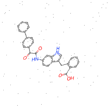 O=C(Nc1ccc2c(Cc3ccccc3C(=O)O)c[nH]c2c1)C(=O)c1ccc(-c2ccccc2)cc1